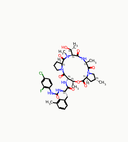 Cc1cccc(C[C@H](NC(=O)Nc2ccc(Cl)cc2F)C(=O)N[C@@H]2C(=O)N3CCC[C@H]3C(=O)N(C)[C@@H]([C@@H](C)O)C(=O)N[C@@H](C)C(=O)N3C[C@H](C)C[C@H]3C(=O)O[C@H]2C)c1